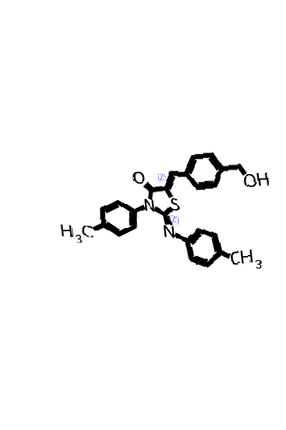 Cc1ccc(/N=C2\S/C(=C\c3ccc(CO)cc3)C(=O)N2c2ccc(C)cc2)cc1